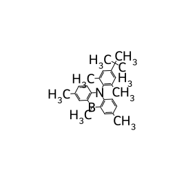 CB1c2cc(C)ccc2N(c2c(C)cc(C(C)(C)C)cc2C)c2ccc(C)cc21